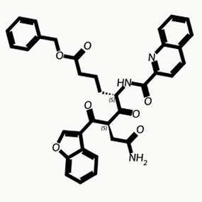 NC(=O)C[C@@H](C(=O)c1coc2ccccc12)C(=O)[C@H](CCCC(=O)OCc1ccccc1)NC(=O)c1ccc2ccccc2n1